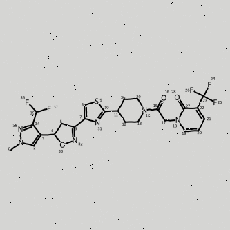 Cn1cc(C2CC(c3csc(C4CCN(C(=O)Cn5cccc(C(F)(F)F)c5=O)CC4)n3)=NO2)c(C(F)F)n1